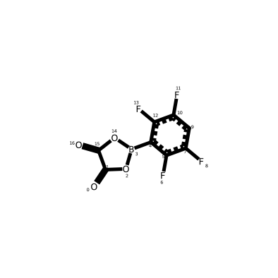 O=C1OB(c2c(F)c(F)cc(F)c2F)OC1=O